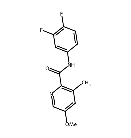 COc1cnc(C(=O)Nc2ccc(F)c(F)c2)c(C)c1